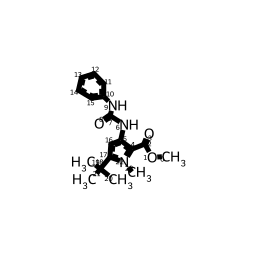 COC(=O)c1c(NC(=O)Nc2ccccc2)cc(C(C)(C)C)n1C